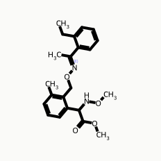 CCc1ccccc1/C(C)=N/OCc1c(C)cccc1C(NOC)C(=O)OC